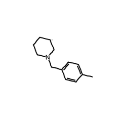 Cc1ccc(CN2C[CH]CCC2)cc1